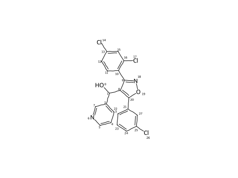 OC(c1cccnc1)c1c(-c2ccc(Cl)cc2Cl)noc1-c1cccc(Cl)c1